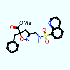 COC(=O)C1(Cc2ccccc2)CC(CNS(=O)(=O)c2cccc3cccnc23)=NO1